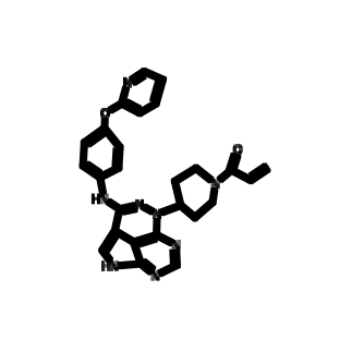 C=CC(=O)N1CCC(N2N=C(Nc3ccc(Oc4ccccn4)cc3)c3c[nH]c4ncnc2c34)CC1